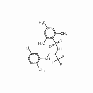 Cc1cc(C)c(S(=O)(=O)NC(CNc2cc(Cl)ccc2C)C(F)(F)F)c(C)c1